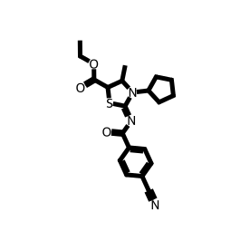 CCOC(=O)C1SC(=NC(=O)c2ccc(C#N)cc2)N(C2CCCC2)C1C